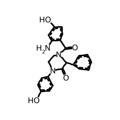 Nc1cc(O)ccc1C(=O)N1CCN(c2ccc(O)cc2)C(=O)C1c1ccccc1